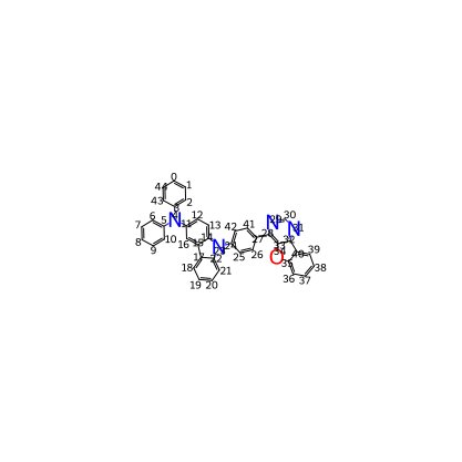 c1ccc(N(c2ccccc2)c2ccc3c(c2)c2ccccc2n3-c2ccc(-c3ncnc4c3oc3ccccc34)cc2)cc1